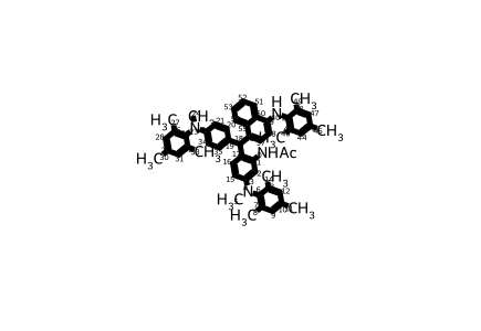 CC(=O)Nc1cc(N(C)c2c(C)cc(C)cc2C)ccc1C(c1ccc(N(C)c2c(C)cc(C)cc2C)cc1)c1ccc(Nc2c(C)cc(C)cc2C)c2ccccc12